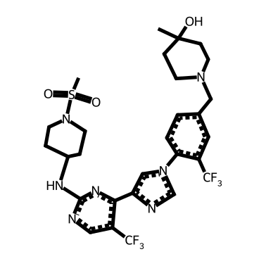 CC1(O)CCN(Cc2ccc(-n3cnc(-c4nc(NC5CCN(S(C)(=O)=O)CC5)ncc4C(F)(F)F)c3)c(C(F)(F)F)c2)CC1